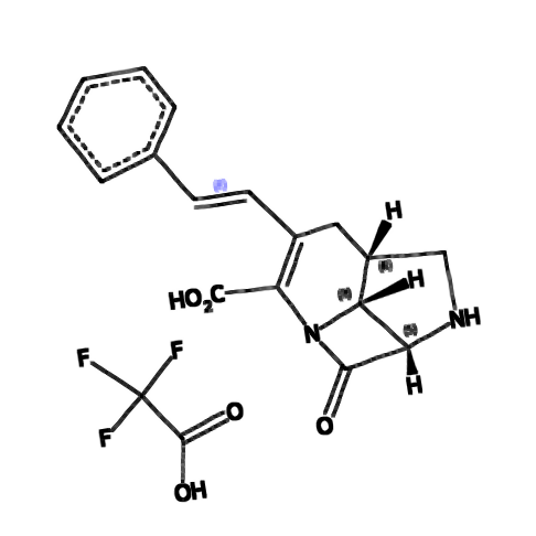 O=C(O)C(F)(F)F.O=C(O)C1=C(/C=C/c2ccccc2)C[C@@H]2CN[C@@H]3C(=O)N1[C@H]23